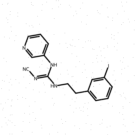 N#CN=C(NCCc1cccc(I)c1)Nc1cccnc1